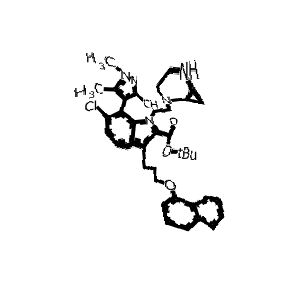 Cc1nn(C)c(C)c1-c1c(Cl)ccc2c(CCCOc3cccc4ccccc34)c(C(=O)OC(C)(C)C)n(CCN3CCNC4CC43)c12